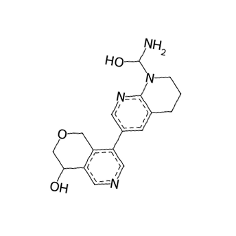 NC(O)N1CCCc2cc(-c3cncc4c3COCC4O)cnc21